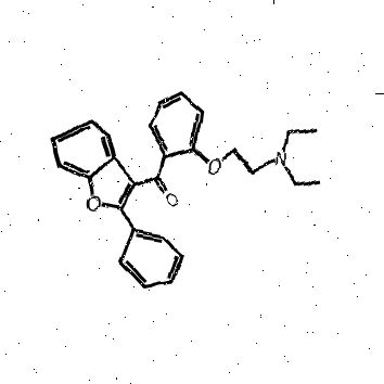 CCN(CC)CCOc1ccccc1C(=O)c1c(-c2ccccc2)oc2ccccc12